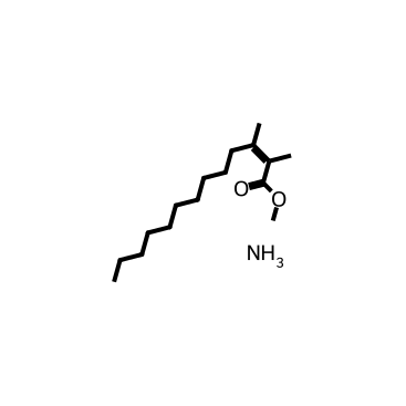 CCCCCCCCCCC(C)=C(C)C(=O)OC.N